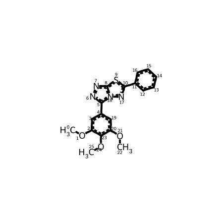 COc1cc(-c2nnc3sc(-c4ccccc4)nn23)cc(OC)c1OC